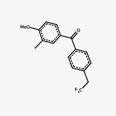 COc1ccc(C(=O)c2ccc(CC(F)(F)F)cc2)cc1C